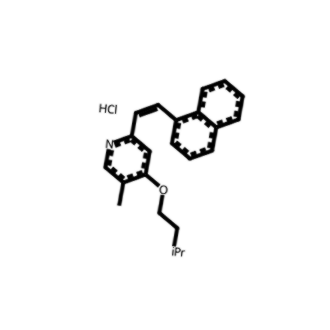 Cc1cnc(/C=C\c2cccc3ccccc23)cc1OCCC(C)C.Cl